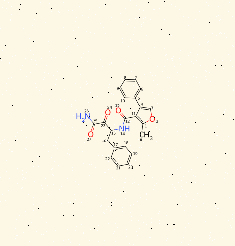 Cc1occ(-c2ccccc2)c1C(=O)NC(Cc1ccccc1)C(=O)C(N)=O